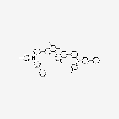 Cc1ccc(N(c2ccc(-c3ccccc3)cc2)c2cccc(-c3ccc4c(-c5c(C)cc(C)c6cc(-c7cccc(N(c8ccc(C)cc8)c8ccc(-c9ccccc9)cc8)c7)ccc56)ccc(C)c4c3)c2)cc1